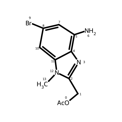 CC(=O)OCc1nc2c(N)cc(Br)cc2n1C